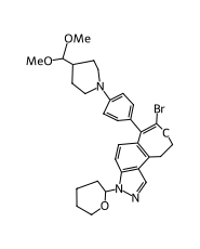 COC(OC)C1CCN(c2ccc(C3=C(Br)CCCc4c3ccc3c4cnn3C3CCCCO3)cc2)CC1